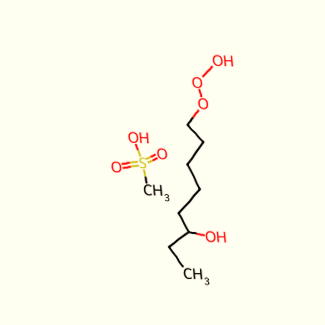 CCC(O)CCCCCOOO.CS(=O)(=O)O